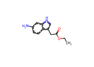 CCOC(=O)Cc1c[nH]c2cc(N)ccc12